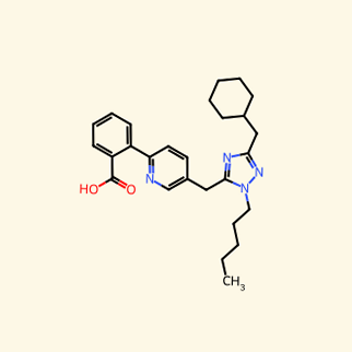 CCCCCn1nc(CC2CCCCC2)nc1Cc1ccc(-c2ccccc2C(=O)O)nc1